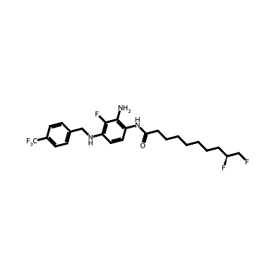 Nc1c(NC(=O)CCCCCCC[C@H](F)CF)ccc(NCc2ccc(C(F)(F)F)cc2)c1F